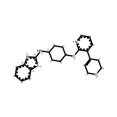 C1=C(c2cccnc2OC2CCC(Nc3nc4ccccc4s3)CC2)CCOC1